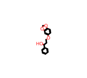 OC(CCOc1ccc2c(c1)OCO2)c1ccccc1